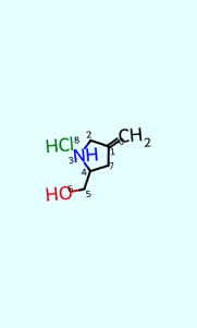 C=C1CNC(CO)C1.Cl